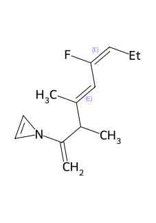 C=C(C(C)/C(C)=C/C(F)=C\CC)N1C=C1